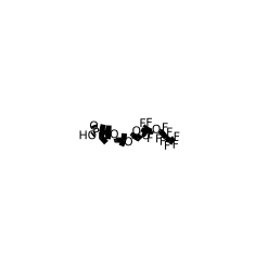 CCC(C)([PH](=O)O)C(C)(C)OCC(C)(C)OCCS(=O)(=O)C(F)(F)C(F)OC(F)(F)C(F)(F)C(F)(F)F